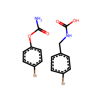 NC(=O)Oc1ccc(Br)cc1.O=C(O)NCc1ccc(Br)cc1